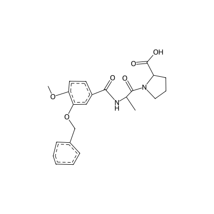 COc1ccc(C(=O)NC(C)C(=O)N2CCCC2C(=O)O)cc1OCc1ccccc1